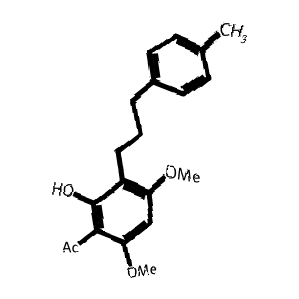 COc1cc(OC)c(C(C)=O)c(O)c1CCCc1ccc(C)cc1